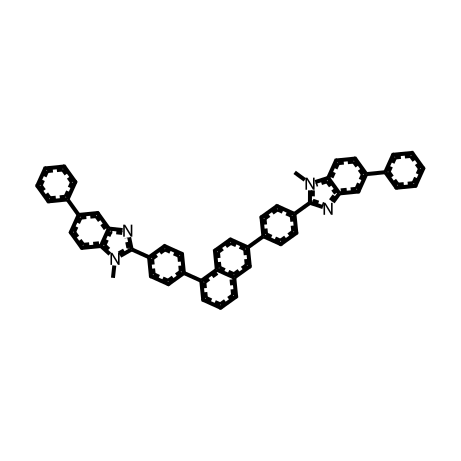 Cn1c(-c2ccc(-c3ccc4c(-c5ccc(-c6nc7cc(-c8ccccc8)ccc7n6C)cc5)cccc4c3)cc2)nc2cc(-c3ccccc3)ccc21